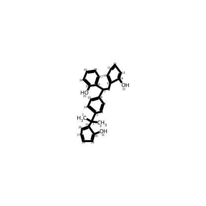 CC(C)(c1ccc(C(Cc2ccccc2O)c2ccccc2O)cc1)c1ccccc1O